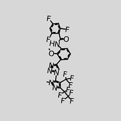 COc1c(NC(=O)c2c(F)cc(F)cc2F)cccc1-c1cn(-c2c(C(F)(F)F)c(C(F)(F)C(F)(F)F)nn2C)nn1